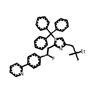 CCC(C)(C)Cc1cn(C(c2ccccc2)(c2ccccc2)c2ccccc2)c(CC(F)c2ccc(-c3ccccn3)cc2)n1